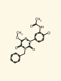 COc1nn(-c2ccc(Cl)c(NC(C)=O)c2)c(=O)n(Cc2ccccc2)c1=O